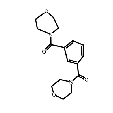 O=C(c1cccc(C(=O)N2CCOCC2)c1)N1CCOCC1